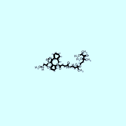 CNCC(O)n1nnc2c1-c1ccccc1N(C(=O)CCC(=O)NCCC(C)(C)OCCC(C)(C)C(=O)C(C)C)Cc1ccccc1-2